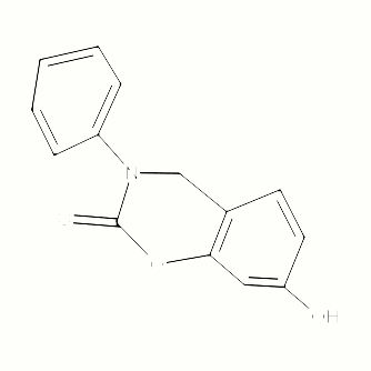 O=C1Oc2cc(O)ccc2CN1c1ccccc1